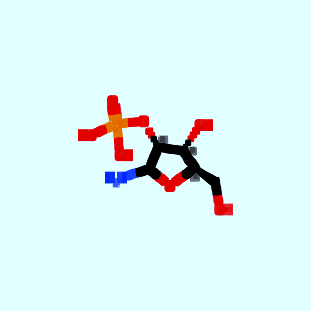 N[C]1O[C@H](CO)[C@@H](O)[C@H]1OP(=O)(O)O